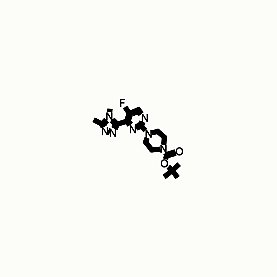 Cc1nnc(-c2nc(N3CCN(C(=O)OC(C)(C)C)CC3)ncc2F)n1C